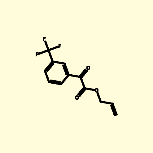 C=CCOC(=O)C(=O)c1cccc(C(F)(F)F)c1